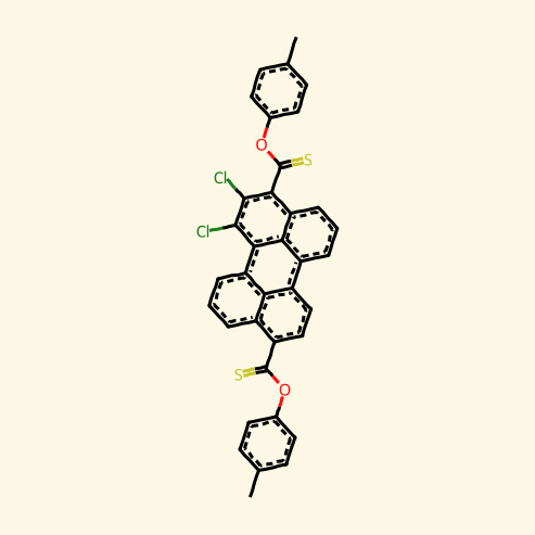 Cc1ccc(OC(=S)c2ccc3c4cccc5c(C(=S)Oc6ccc(C)cc6)c(Cl)c(Cl)c(c6cccc2c36)c54)cc1